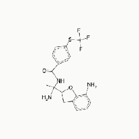 CC(N)(NC(=O)c1ccc(SC(F)(F)F)cc1)C1Cc2cccc(N)c2O1